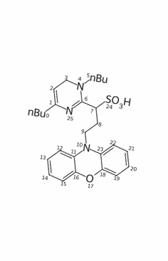 CCCCC1=CCN(CCCC)C(C(CCN2c3ccccc3Oc3ccccc32)S(=O)(=O)O)=N1